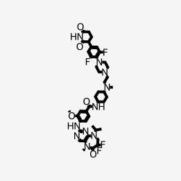 COc1cc(C(=O)NC2CCC(N(C)CCN3CCN(c4c(F)cc(C5CCC(=O)NC5=O)cc4F)CC3)CC2)ccc1Nc1ncc2c(n1)N(C(C)C)CC(F)(F)C(=O)N2C